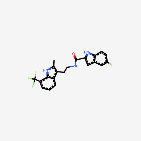 Cc1[nH]c2c(C(F)(F)F)cccc2c1CCNC(=O)c1cc2cc(F)ccc2[nH]1